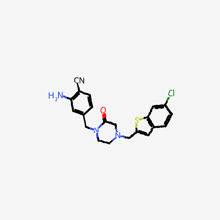 N#Cc1ccc(CN2CCN(Cc3cc4ccc(Cl)cc4s3)CC2=O)cc1N